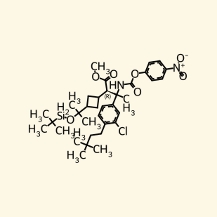 COC(=O)[C@H](C1CC(C(C)(C)O[SiH2]C(C)(C)C)C1)C(C)(NC(=O)Oc1ccc([N+](=O)[O-])cc1)c1ccc(CCC(C)(C)C)c(Cl)c1